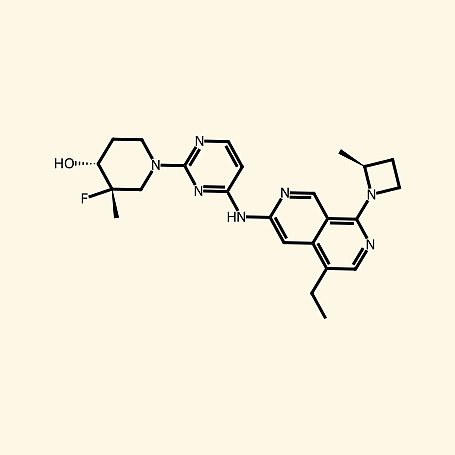 CCc1cnc(N2CC[C@@H]2C)c2cnc(Nc3ccnc(N4CC[C@@H](O)[C@@](C)(F)C4)n3)cc12